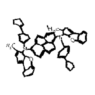 Cc1ccc2c(oc3ccccc32)c1N(c1ccc(C2CCCC2)cc1)c1ccc2ccc3c(N(c4ccc(C5CCCC5)cc4)c4c(C)ccc5c4oc4ccccc45)ccc4ccc1c2c43